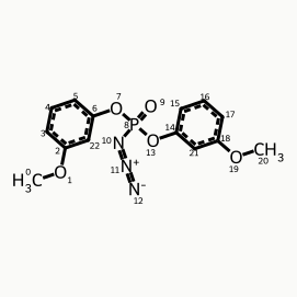 COc1cccc(OP(=O)(N=[N+]=[N-])Oc2cccc(OC)c2)c1